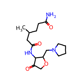 CC(CCC(N)=O)CC(=O)NC1C(=O)COC1CN1CCCC1